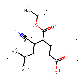 CCOC(=O)C(CCC(=O)O)C(C#N)CC(C)C